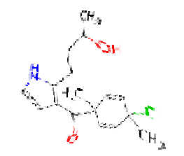 CC(O)CCc1[nH]ccc1C(=O)C1(C)C=CC(C)(Cl)C=C1